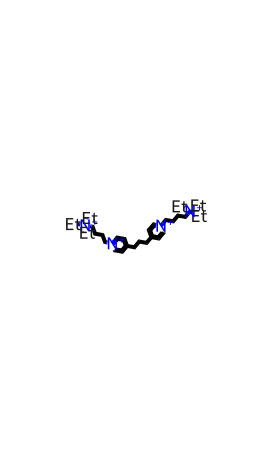 CC[N+](CC)(CC)CCCC[n+]1ccc(CCCc2cc[n+](CCCC[N+](CC)(CC)CC)cc2)cc1